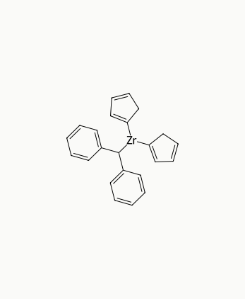 C1=CC[C]([Zr]([C]2=CC=CC2)[CH](c2ccccc2)c2ccccc2)=C1